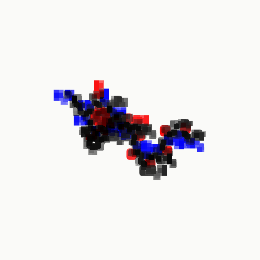 CC[C@H](C)[C@H](NC(=O)[C@H](CO)NC(=O)[C@H](CCCCN)NC(=O)[C@@H]1CCCN1C(=O)[C@H](Cc1ccccc1)NC(=O)[C@@H](NC(=O)[C@@H](NC(=O)CNC(=O)[C@H](CCC(=O)O)NC(=O)[C@H](C)NC(=O)CNC(=O)[C@H](CC(C)C)NC(=O)[C@@H](N)C(C)C)[C@@H](C)O)C(C)C)C(=O)N[C@@H](CCC(=O)O)C(=O)N[C@H](C(=O)O)[C@@H](C)O